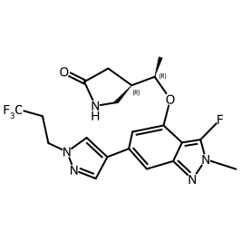 C[C@@H](Oc1cc(-c2cnn(CCC(F)(F)F)c2)cc2nn(C)c(F)c12)[C@H]1CNC(=O)C1